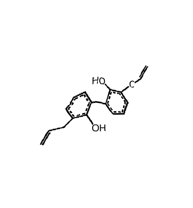 C=CCc1cccc(-c2cccc(CC=C)c2O)c1O